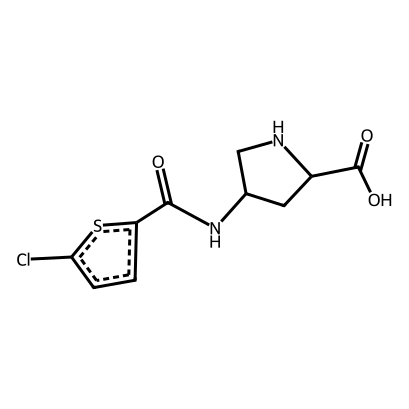 O=C(NC1CNC(C(=O)O)C1)c1ccc(Cl)s1